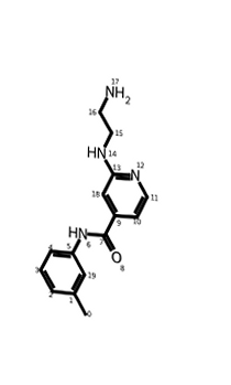 Cc1cccc(NC(=O)c2ccnc(NCCN)c2)c1